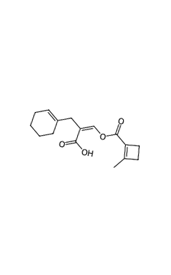 CC1=C(C(=O)OC=C(CC2=CCCCC2)C(=O)O)CC1